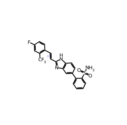 NS(=O)(=O)c1ccccc1-c1ccc2[nH]c(/C=C/c3ccc(F)cc3C(F)(F)F)nc2c1